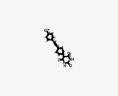 O=C1NC(=O)C(c2ccc(C#Cc3ccc(Cl)cc3)cc2)C(=O)N1